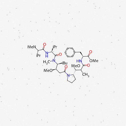 CCC(C)[C@@H]([C@@H](CC(=O)N1CCC[C@H]1C(OC)C(C)C(=O)N[C@@H](Cc1ccccc1)C(=O)OC)OC)N(C)C(=O)[C@@H](NC(=O)C(NC)C(C)C)C(C)C